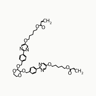 C=CC(=O)OCCCCCOc1cnc(-c2ccc(COC3OCCOC3OCc3ccc(-c4ncc(OCCCCCOC(=O)C=C)cn4)cc3)cc2)nc1